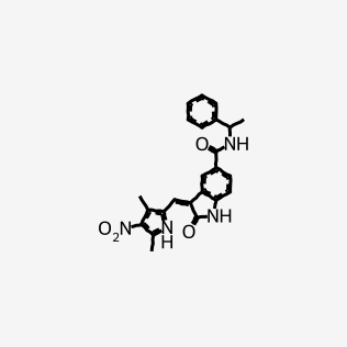 Cc1[nH]c(/C=C2\C(=O)Nc3ccc(C(=O)NC(C)c4ccccc4)cc32)c(C)c1[N+](=O)[O-]